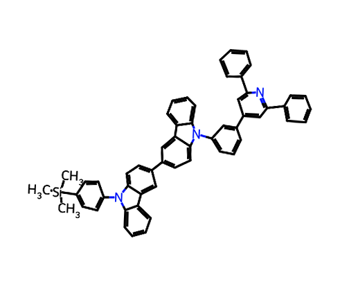 C[Si](C)(C)c1ccc(-n2c3ccccc3c3cc(-c4ccc5c(c4)c4ccccc4n5-c4cccc(-c5cc(-c6ccccc6)nc(-c6ccccc6)c5)c4)ccc32)cc1